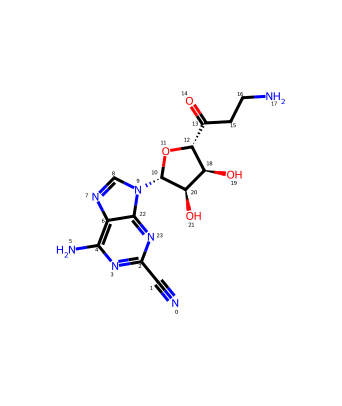 N#Cc1nc(N)c2ncn([C@@H]3O[C@H](C(=O)CCN)[C@@H](O)[C@H]3O)c2n1